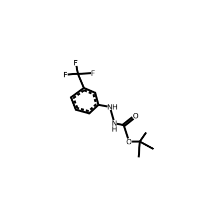 CC(C)(C)OC(=O)NNc1cccc(C(F)(F)F)c1